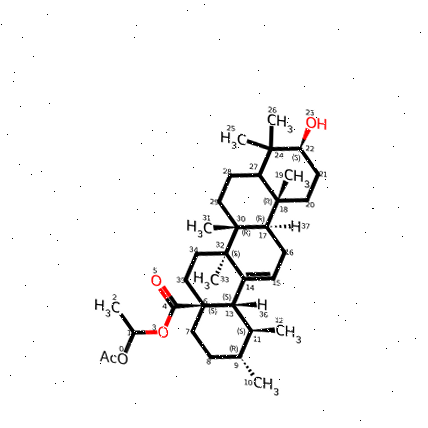 CC(=O)OC(C)OC(=O)[C@]12CC[C@@H](C)[C@H](C)[C@H]1C1=CC[C@@H]3[C@@]4(C)CC[C@H](O)C(C)(C)C4CC[C@@]3(C)[C@]1(C)CC2